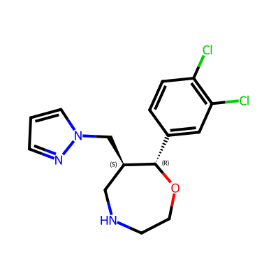 Clc1ccc([C@@H]2OCCNC[C@H]2Cn2cccn2)cc1Cl